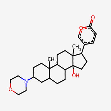 CC12CCC(N3CCOCC3)CC1CCC1C2CCC2(C)C(c3ccc(=O)oc3)CCC12O